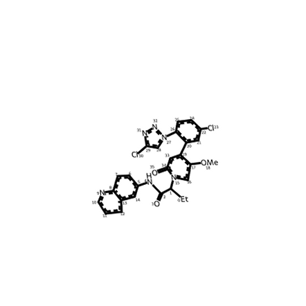 CCC(C(=O)Nc1ccc2ncccc2c1)n1cc(OC)c(-c2cc(Cl)ccc2-n2cc(Cl)nn2)cc1=O